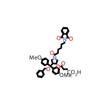 COc1ccc(C(OCc2ccccc2)(c2ccc(OC)cc2)C2CN(C(=O)CCCCCN3C(=O)c4ccccc4C3=O)CC2OC(=O)CCC(=O)O)cc1